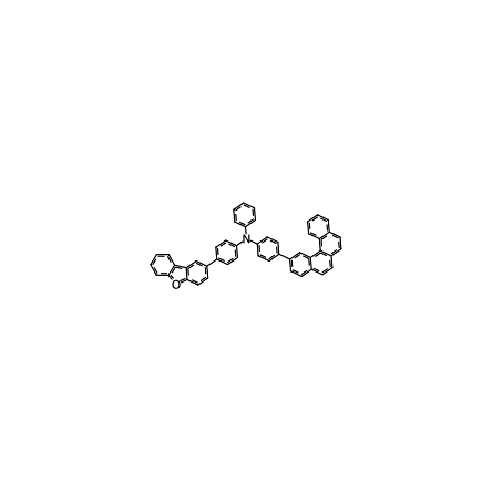 c1ccc(N(c2ccc(-c3ccc4oc5ccccc5c4c3)cc2)c2ccc(-c3ccc4ccc5ccc6ccccc6c5c4c3)cc2)cc1